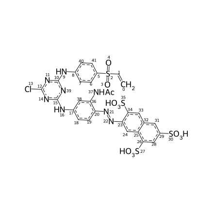 C=CS(=O)(=O)c1ccc(Nc2nc(Cl)nc(Nc3ccc(N=Nc4cc5c(S(=O)(=O)O)cc(S(=O)(=O)O)cc5cc4S(=O)(=O)O)c(NC(C)=O)c3)n2)cc1